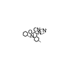 Cc1ccc2c(c1)c(N1CCN(C)CC1)c(C#N)c(=O)n2Cc1ccccc1